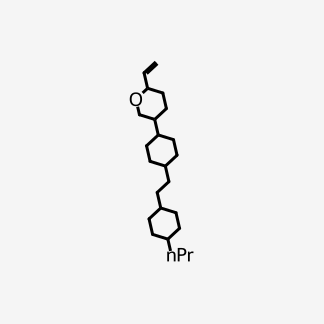 C=CC1CCC(C2CCC(CCC3CCC(CCC)CC3)CC2)CO1